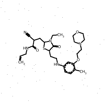 C=CCNC(=O)C(C#N)CC1SC(CCNc2ccc(C)c(OCCN3CCOCC3)c2)C(=O)N1CC